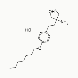 CCCCCCCOc1ccc(CCC(N)(CC)CO)cc1.Cl